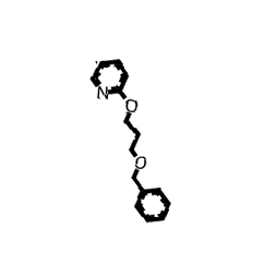 [c]1ccc(OCCCOCc2ccccc2)nc1